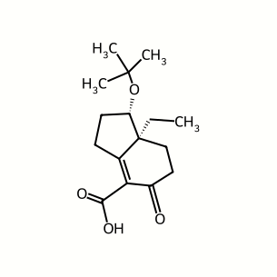 CC[C@]12CCC(=O)C(C(=O)O)=C1CC[C@@H]2OC(C)(C)C